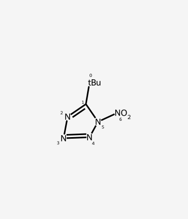 CC(C)(C)c1nnnn1[N+](=O)[O-]